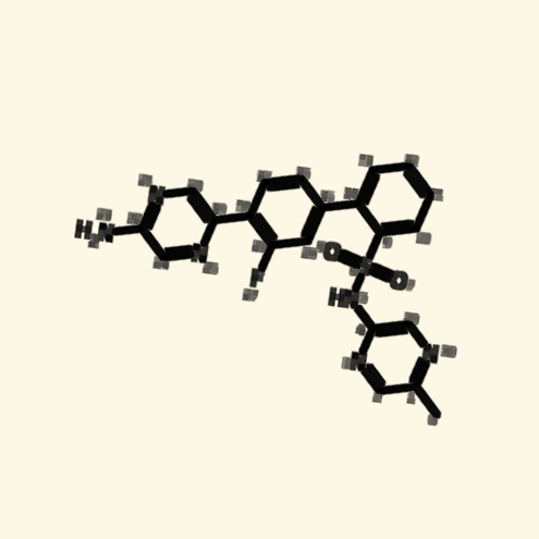 Cc1cnc(NS(=O)(=O)c2ccccc2-c2ccc(-c3cnc(N)cn3)c(F)c2)cn1